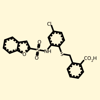 O=C(O)c1ccccc1CSc1ccc(Cl)cc1NS(=O)(=O)c1cc2ccccc2o1